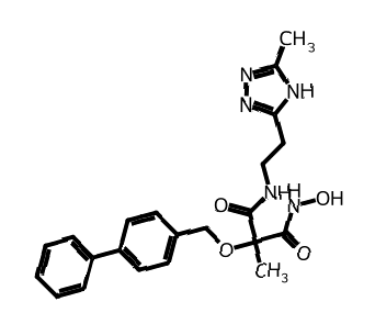 Cc1nnc(CCNC(=O)C(C)(OCc2ccc(-c3ccccc3)cc2)C(=O)NO)[nH]1